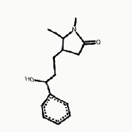 CC1C(CCC(O)c2ccccc2)CC(=O)N1C